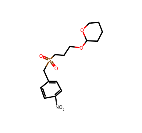 O=[N+]([O-])c1ccc(CS(=O)(=O)CCCOC2CCCCO2)cc1